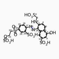 O=S(=O)(O)CNc1ccc2c(O)cc(S(=O)(=O)O)cc2c1/N=N/c1ccc(S(=O)(=O)CCOS(=O)(=O)O)cc1S(=O)(=O)O